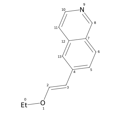 CCOC=Cc1ccc2cnccc2c1